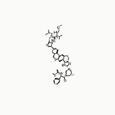 C=C(N[C@@H](C(=O)N1C[C@@H](C)C[C@@H](c2nc3c([nH]2)-c2cc4c(cc2CC3)C2=CC=C(c3cnc(CN(CC(C)C)C(=O)[C@@H](NCOC)C(C)C)[nH]3)CC2CO4)C1)c1ccccc1)OC